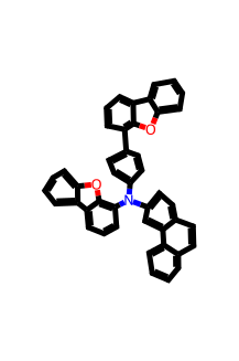 c1ccc2c(c1)ccc1ccc(N(c3ccc(-c4cccc5c4oc4ccccc45)cc3)c3cccc4c3oc3ccccc34)cc12